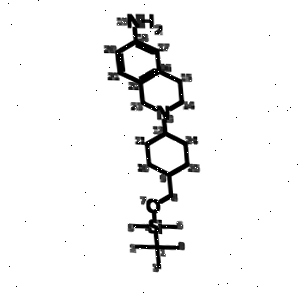 CC(C)(C)[Si](C)(C)OCC1CCC(N2CCc3cc(N)ccc3C2)CC1